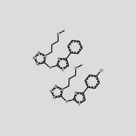 COCCCn1nnnc1Sc1nc(-c2ccc(Cl)cc2)cs1.COCCCn1nnnc1Sc1nc(-c2ccccc2)cs1